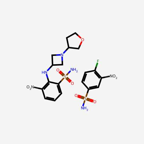 NS(=O)(=O)c1ccc(F)c([N+](=O)[O-])c1.NS(=O)(=O)c1cccc([N+](=O)[O-])c1NC1CN(C2CCOC2)C1